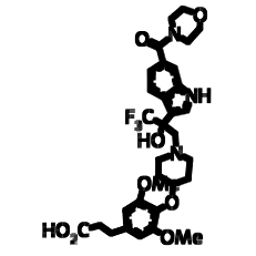 COc1cc(CCC(=O)O)cc(OC)c1OC1CCN(CC(O)(c2c[nH]c3cc(C(=O)N4CCOCC4)ccc23)C(F)(F)F)CC1